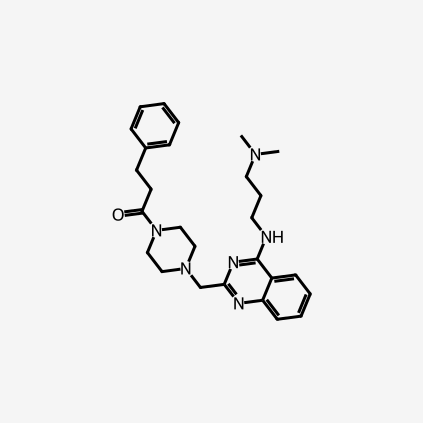 CN(C)CCCNc1nc(CN2CCN(C(=O)CCc3ccccc3)CC2)nc2ccccc12